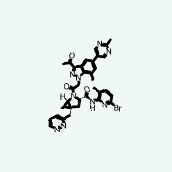 CC(=O)c1nn(CC(=O)N2[C@H](C(=O)Nc3nc(Br)ccc3C)C[C@@]3(Cc4cccnn4)C[C@@H]23)c2c(C)cc(-c3cnc(C)nc3)cc12